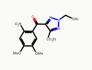 CCOC(=O)c1nn(COC(C)=O)nc1C(=O)c1cc(OC)c(OC)cc1[N+](=O)[O-]